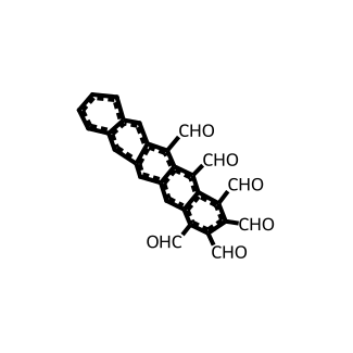 O=Cc1c(C=O)c(C=O)c2c(C=O)c3c(C=O)c4cc5ccccc5cc4cc3cc2c1C=O